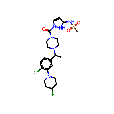 CC(c1ccc(Cl)c(N2CCC(F)CC2)c1)N1CCN(C(=O)N2C=CC(NS(C)(=O)=O)N2)CC1